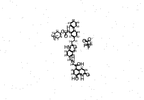 C[N+]1(C)CCC(OC(=O)Nc2cc(CCC(=O)Nc3ccc(CNC[C@H](O)c4ccc(O)c5[nH]c(=O)ccc45)cc3F)ccc2-c2ccccc2)CC1.O=C([O-])C(F)(F)F